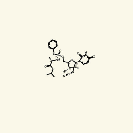 CC(C)OC(=O)[C@@H](C)N[P@](=O)(OC[C@H]1O[C@@H](n2ccc(=O)[nH]c2=O)[C@](C)(N=[N+]=[N-])[C@@H]1O)Oc1ccccc1